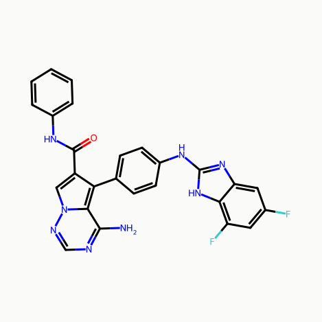 Nc1ncnn2cc(C(=O)Nc3ccccc3)c(-c3ccc(Nc4nc5cc(F)cc(F)c5[nH]4)cc3)c12